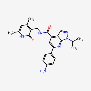 Cc1cc(C)c(CNC(=O)c2cc(-c3ccc(N)cc3)nc3c2cnn3C(C)C)c(=O)[nH]1